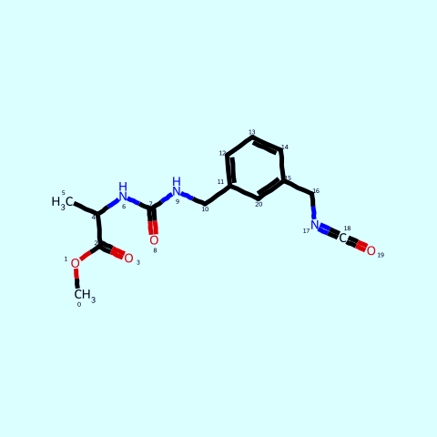 COC(=O)C(C)NC(=O)NCc1cccc(CN=C=O)c1